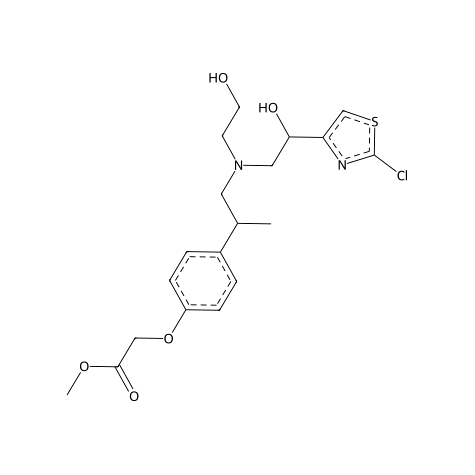 COC(=O)COc1ccc(C(C)CN(CCO)CC(O)c2csc(Cl)n2)cc1